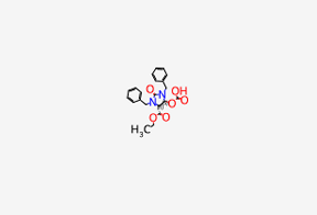 CCOC(=O)[C@H]1[C@H](OC(=O)O)N(Cc2ccccc2)C(=O)N1Cc1ccccc1